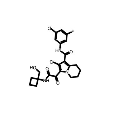 O=C(NC1(CO)CCC1)C(=O)c1c(Cl)c(C(=O)Nc2cc(F)cc(Cl)c2)c2n1CCCC2